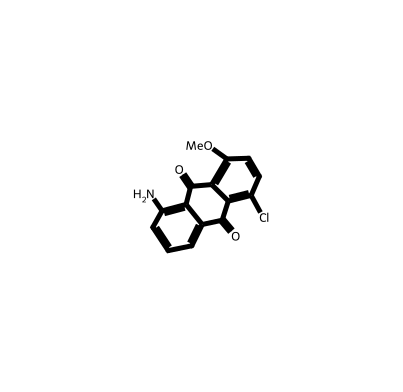 COc1ccc(Cl)c2c1C(=O)c1c(N)cccc1C2=O